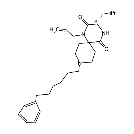 C=CCN1C(=O)[C@H](CC(C)C)NC(=O)C12CCN(CCCCCCc1ccccc1)CC2